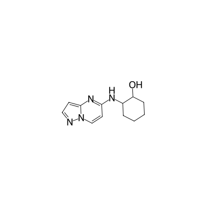 OC1CCCCC1Nc1ccn2nccc2n1